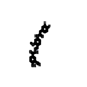 COc1cc(NC(=O)Cc2ccc(F)c(F)c2)ccc1/C=N/NC(=O)c1ccc(O)c(C#N)c1